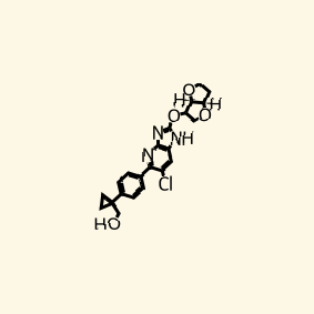 OCC1(c2ccc(-c3nc4nc(OC5CO[C@@H]6CCO[C@H]56)[nH]c4cc3Cl)cc2)CC1